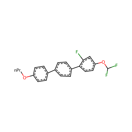 CCCOc1ccc(-c2ccc(-c3ccc(OC(F)F)cc3F)cc2)cc1